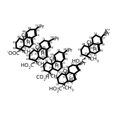 CC(C)C1=CC2=CCC3[C@](C)(C(=O)O)CCC[C@]3(C)[C@H]2CC1.CC(C)C1=CC2=CCC3[C@](C)(C(=O)O)CCC[C@]3(C)[C@H]2CC1.CC(C)C1=CC2=CCC3[C@](C)(C(=O)O)CCC[C@]3(C)[C@H]2CC1.CC(C)C1=CC2=CCC3[C@](C)(C(=O)O)CCC[C@]3(C)[C@H]2CC1.CC(C)C1=CC2=CCC3[C@](C)(C(=O)[O-])CCC[C@]3(C)[C@H]2CC1.[K+]